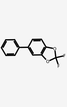 FC1(F)Oc2ccc(-c3ccccc3)cc2O1